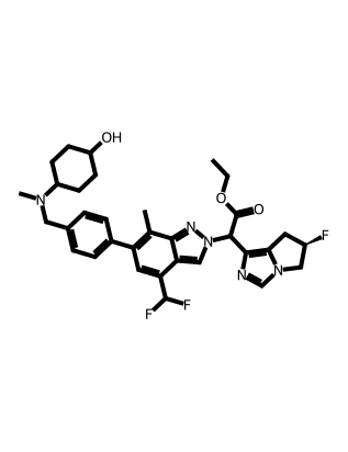 CCOC(=O)C(c1ncn2c1C[C@@H](F)C2)n1cc2c(C(F)F)cc(-c3ccc(CN(C)C4CCC(O)CC4)cc3)c(C)c2n1